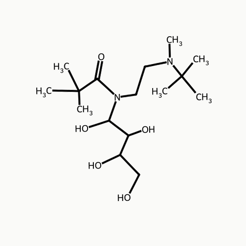 CN(CCN(C(=O)C(C)(C)C)C(O)C(O)C(O)CO)C(C)(C)C